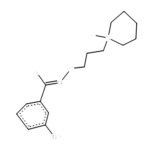 O=[N+]([O-])c1cccc(C(Cl)=NOCCC[N+]2([O-])CCCCC2)c1